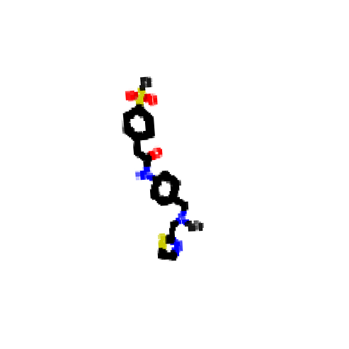 CCCN(Cc1ccc(NC(=O)Cc2ccc(S(=O)(=O)CC)cc2)cc1)Cc1nccs1